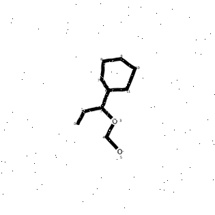 CCC(OC[O])C1CCCCC1